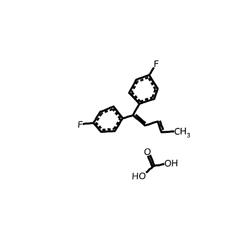 C/C=C/C=C(c1ccc(F)cc1)c1ccc(F)cc1.O=C(O)O